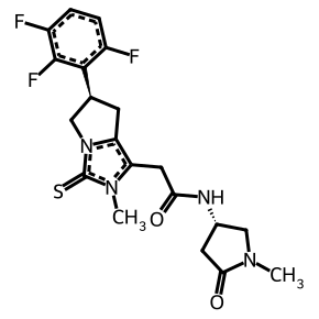 CN1C[C@@H](NC(=O)Cc2c3n(c(=S)n2C)C[C@@H](c2c(F)ccc(F)c2F)C3)CC1=O